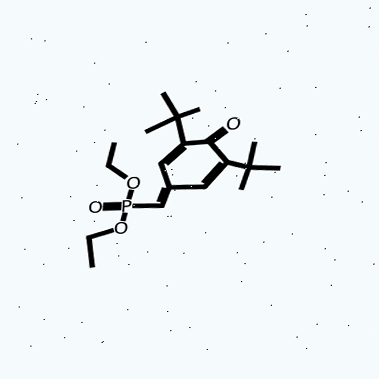 CCOP(=O)(C=C1C=C(C(C)(C)C)C(=O)C(C(C)(C)C)=C1)OCC